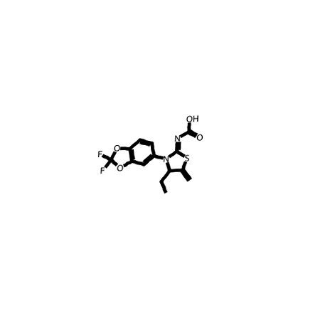 C=C1SC(=NC(=O)O)N(c2ccc3c(c2)OC(F)(F)O3)C1CC